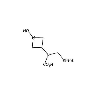 CCCCCCN(C(=O)O)C1CN(O)C1